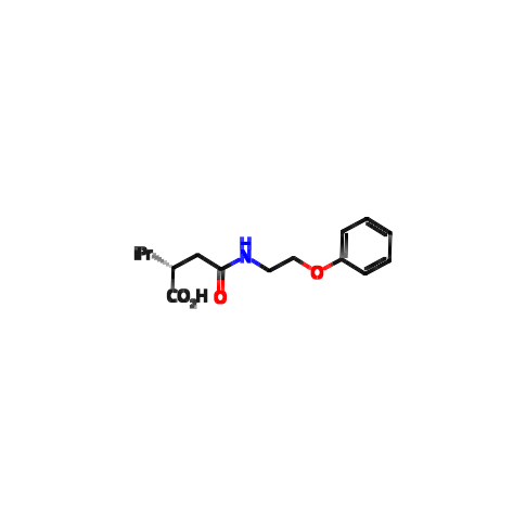 CC(C)[C@H](CC(=O)NCCOc1ccccc1)C(=O)O